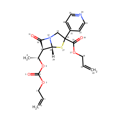 C=CCOC(=O)O[C@H](C)[C@H]1C(=O)N2CC(C(=O)OCC=C)(c3ccncc3)S[C@H]12